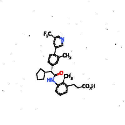 Cc1cc([C@H](C(=O)Nc2cccc(CCC(=O)O)c2C)C2CCCC2)ccc1-c1cncc(C(F)(F)F)c1